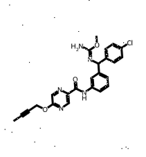 CC#CCOc1cnc(C(=O)Nc2cccc(C(/N=C(/N)OC)c3ccc(Cl)cc3)c2)cn1